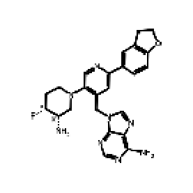 Nc1ncnc2c1ncn2Cc1cc(-c2ccc3c(c2)CCO3)ncc1N1CC[C@@H](F)[C@@H](N)C1